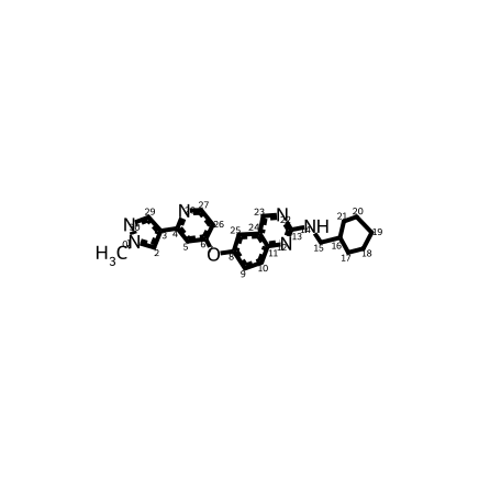 Cn1cc(-c2cc(Oc3ccc4nc(NCC5CCCCC5)ncc4c3)ccn2)cn1